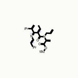 C=CCN(C(=C)C(=O)OC(C)(C)C)C(=O)C(=C/C)/C(=N\C=C\C(C)C)C(=C)C(C)C